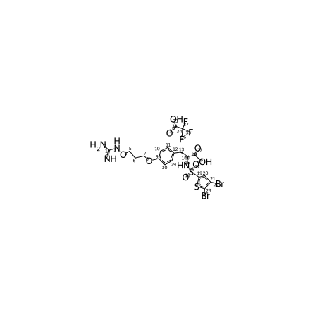 N=C(N)NOCCCOc1ccc(C[C@H](NS(=O)(=O)c2cc(Br)c(Br)s2)C(=O)O)cc1.O=C(O)C(F)(F)F